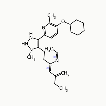 C=C(/C=C(CCC1=C(c2ccc(OC3CCCCC3)c(C)n2)NNN1C)\N=C/C)CC